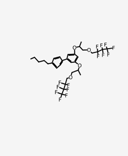 CCCCCc1ccc(-c2cc(OC(C)COCC(F)(F)C(F)(F)C(F)(F)F)cc(OC(C)COCC(F)(F)C(F)(F)C(F)(F)F)c2)cc1